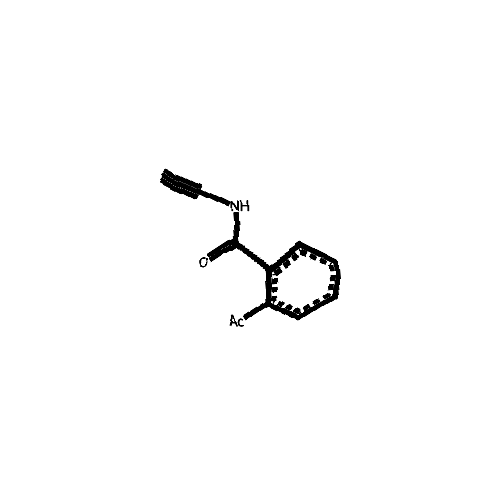 C#CNC(=O)c1ccccc1C(C)=O